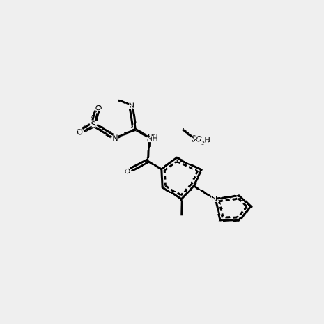 CN=C(N=S(=O)=O)NC(=O)c1ccc(-n2cccc2)c(C)c1.CS(=O)(=O)O